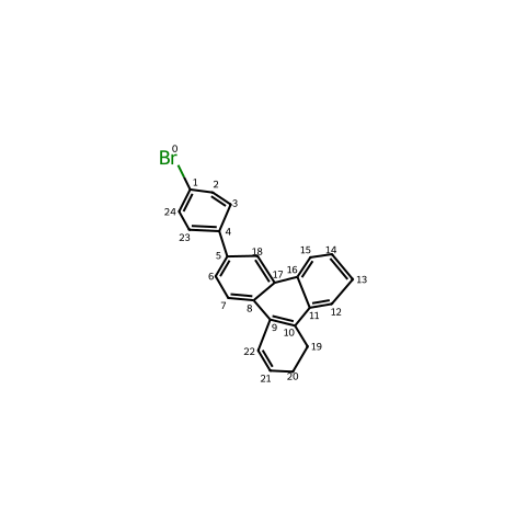 Brc1ccc(-c2ccc3c4c(c5ccccc5c3c2)CCC=C4)cc1